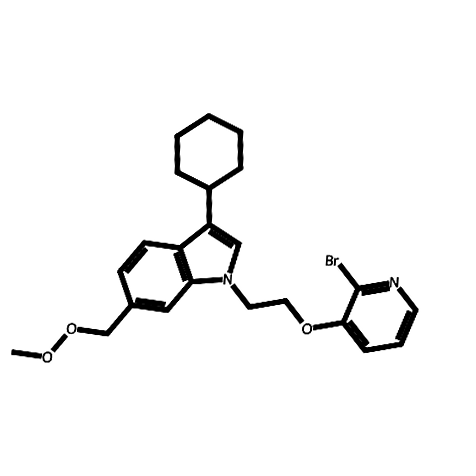 COOCc1ccc2c(C3CCCCC3)cn(CCOc3cccnc3Br)c2c1